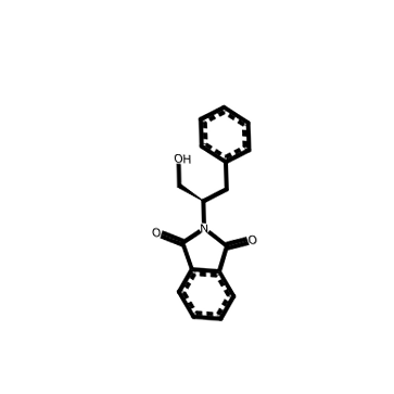 O=C1c2ccccc2C(=O)N1[C@@H](CO)Cc1ccccc1